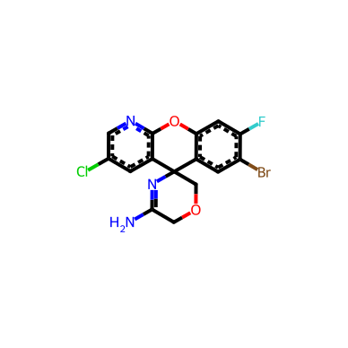 NC1=NC2(COC1)c1cc(Br)c(F)cc1Oc1ncc(Cl)cc12